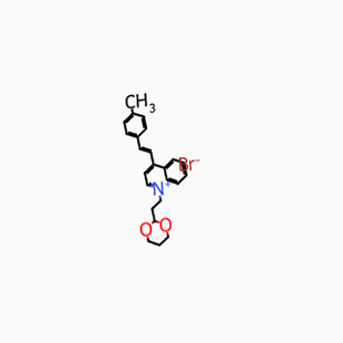 Cc1ccc(/C=C/c2cc[n+](CCC3OCCCO3)c3ccccc23)cc1.[Br-]